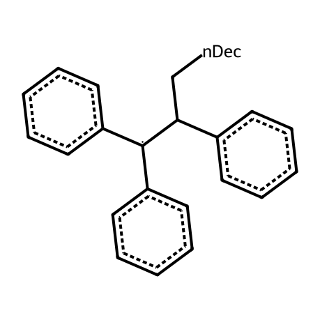 CCCCCCCCCCCC([C](c1ccccc1)c1ccccc1)c1ccccc1